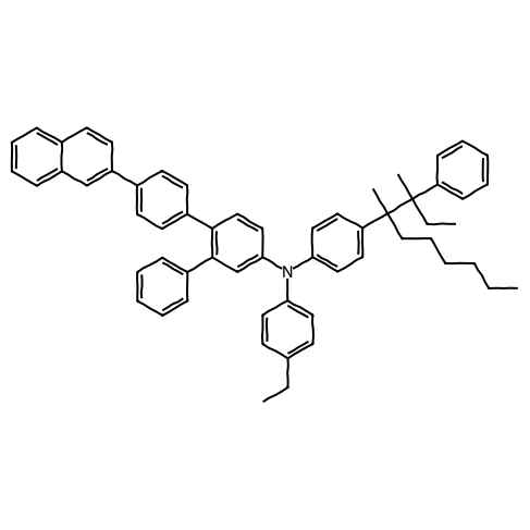 CCCCCCC(C)(c1ccc(N(c2ccc(CC)cc2)c2ccc(-c3ccc(-c4ccc5ccccc5c4)cc3)c(-c3ccccc3)c2)cc1)C(C)(CC)c1ccccc1